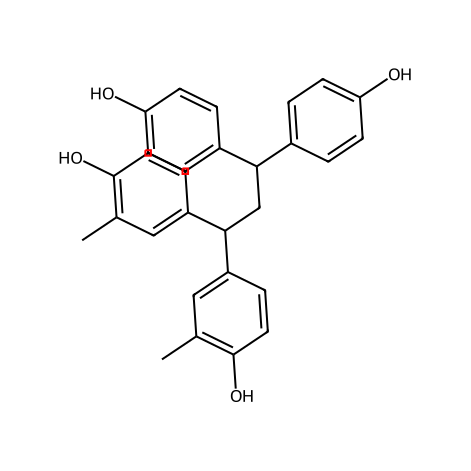 Cc1cc(C(CC(c2ccc(O)cc2)c2ccc(O)cc2)c2ccc(O)c(C)c2)ccc1O